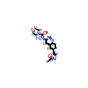 Cc1ncc(-c2ccc3nnc(NC(=O)N4CCOCC4)cc3c2)o1